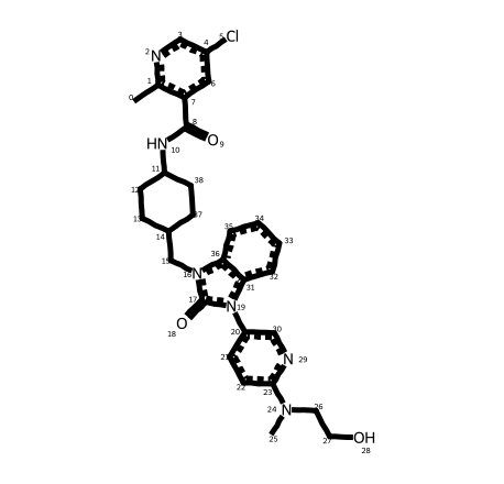 Cc1ncc(Cl)cc1C(=O)NC1CCC(Cn2c(=O)n(-c3ccc(N(C)CCO)nc3)c3ccccc32)CC1